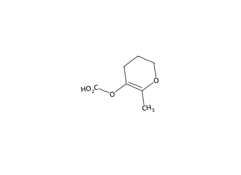 CC1=C(OC(=O)O)CCCO1